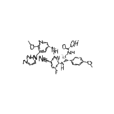 COc1ccc([C@@H](Nc2nc(Nc3cnc(OC)c(-n4ccnn4)c3)c(C#N)cc2F)[C@H](C)NC(=O)O)cc1